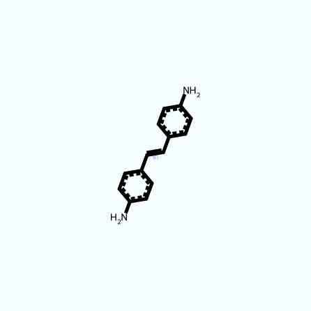 Nc1ccc(/C=C/c2ccc(N)cc2)cc1